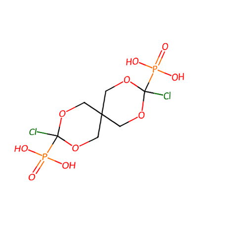 O=P(O)(O)C1(Cl)OCC2(CO1)COC(Cl)(P(=O)(O)O)OC2